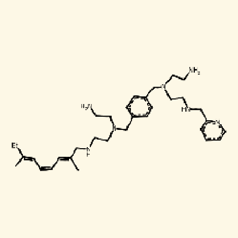 CC/C(C)=C/C=C\C=C(/C)CNCCN(CCN)Cc1ccc(CN(CCN)CCNCc2ccccn2)cc1